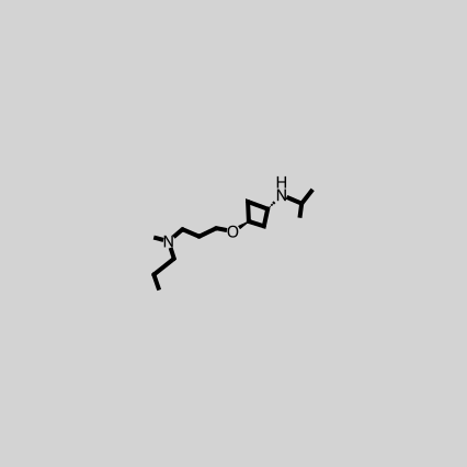 CCCN(C)CCCO[C@H]1C[C@H](NC(C)C)C1